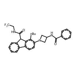 CCCCc1c(N2CC(NC(=O)c3ccccc3)C2)ccc2c1C(C(=O)NCC(F)(F)F)c1ccccc1-2